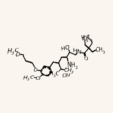 CCC(CC)(CC)C(=O)NCC(O)C(N)CC(Cc1ccc(OC)c(OCCCOC)c1)C(C)C.Cl